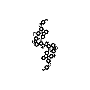 C=Cc1ccc(Oc2ccc(C3(c4ccc(F)cc4)c4ccccc4-c4ccc(N(c5ccc6c(c5)C5(CC6(C)C)CC(C)(C)c6ccc(N(c7ccc8c(c7)C(c7ccc(F)cc7)(c7ccc(Oc9ccc(C=C)cc9)cc7)c7ccccc7-8)c7cccc8oc9ccccc9c78)cc65)c5cccc6oc7ccccc7c56)cc43)cc2)cc1